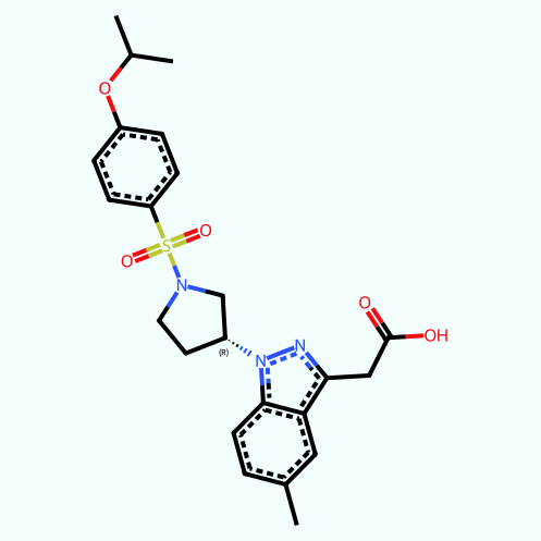 Cc1ccc2c(c1)c(CC(=O)O)nn2[C@@H]1CCN(S(=O)(=O)c2ccc(OC(C)C)cc2)C1